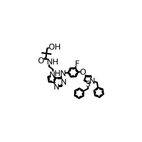 CC(C)(CO)C(=O)NCCn1ccc2ncnc(Nc3ccc(OC4=CN(Cc5ccccc5)S(Cc5ccccc5)=C4)c(F)c3)c21